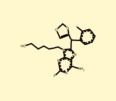 Nc1nc(F)nc2c1nc(C(C1=COCO1)c1ccccc1I)n2CCCCCO